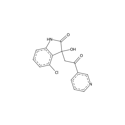 O=C(CC1(O)C(=O)Nc2cccc(Cl)c21)c1cccnc1